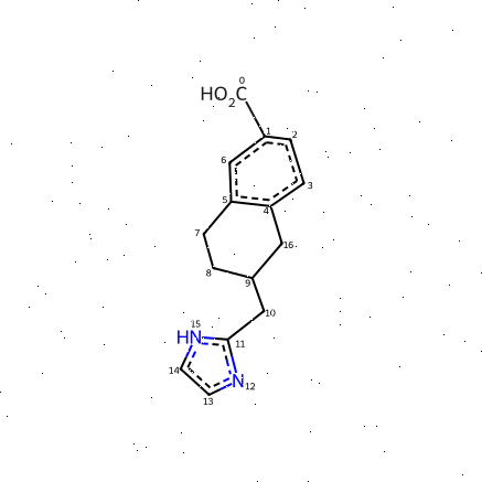 O=C(O)c1ccc2c(c1)CCC(Cc1ncc[nH]1)C2